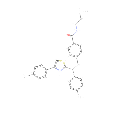 CC(C)(C)c1ccc(C(Cc2ccc(C(=O)NCCC(=O)O)cc2)c2nc(-c3ccc(C#N)cc3)cs2)cc1